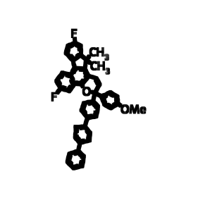 COc1ccc(C2(c3ccc(-c4ccc(-c5ccccc5)cc4)cc3)C=Cc3c4c(c5ccc(F)cc5c3O2)-c2ccc(F)cc2C4(C)C)cc1